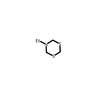 CCN1CSCSC1